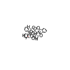 CO[C@@H]1C(O[Si](c2ccccc2)(c2ccccc2)C(C)(C)C)[C@@H](CO)C[C@H]1N1C(=O)c2ccccc2C1=O